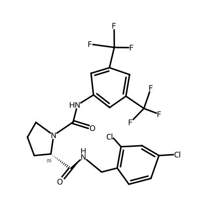 O=C(NCc1ccc(Cl)cc1Cl)[C@@H]1CCCN1C(=O)Nc1cc(C(F)(F)F)cc(C(F)(F)F)c1